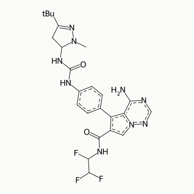 CN1N=C(C(C)(C)C)CC1NC(=O)Nc1ccc(-c2c(C(=O)NC(F)C(F)F)cn3ncnc(N)c23)cc1